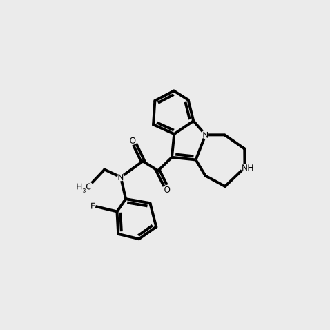 CCN(C(=O)C(=O)c1c2n(c3ccccc13)CCNCC2)c1ccccc1F